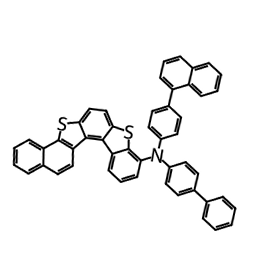 c1ccc(-c2ccc(N(c3ccc(-c4cccc5ccccc45)cc3)c3cccc4c3sc3ccc5sc6c7ccccc7ccc6c5c34)cc2)cc1